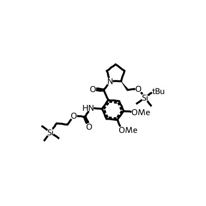 COc1cc(NC(=O)OCC[Si](C)(C)C)c(C(=O)N2CCC[C@H]2CO[Si](C)(C)C(C)(C)C)cc1OC